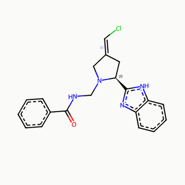 O=C(NCN1C/C(=C/Cl)C[C@H]1c1nc2ccccc2[nH]1)c1ccccc1